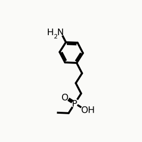 CCP(=O)(O)CCCc1ccc(N)cc1